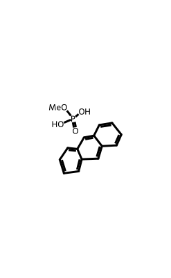 COP(=O)(O)O.c1ccc2cc3ccccc3cc2c1